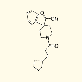 O=C(CCC1CCCC1)N1CCC(C(=O)O)(c2ccccc2)CC1